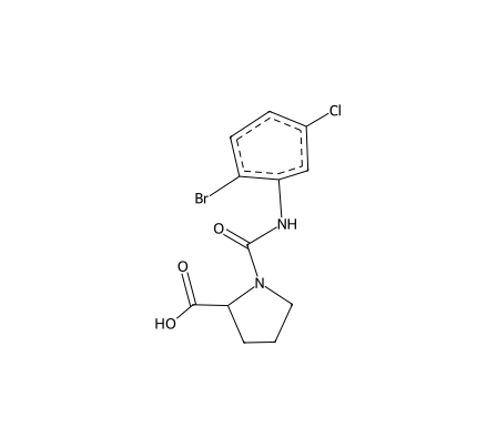 O=C(O)C1CCCN1C(=O)Nc1cc(Cl)ccc1Br